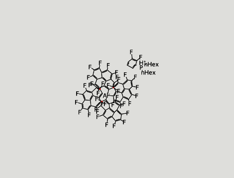 CCCCCC[PH+](CCCCCC)c1cccc(F)c1F.Fc1c(F)c2c(F)c(F)c3c(F)c(F)[c]([Al-]([c]4c(F)c(F)c5c(F)c(F)c6c(F)c(F)c(F)c7c(F)c(F)c4c5c67)([c]4c(F)c(F)c5c(F)c(F)c6c(F)c(F)c(F)c7c(F)c(F)c4c5c67)[c]4c(F)c(F)c5c(F)c(F)c6c(F)c(F)c(F)c7c(F)c(F)c4c5c67)c4c(F)c(F)c(c1F)c2c34